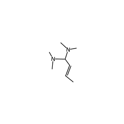 CC=CC(N(C)C)N(C)C